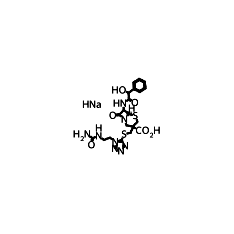 NC(=O)NCCn1nnnc1SCC1(C(=O)O)CS[C@@H]2C(NC(=O)C(O)c3ccccc3)C(=O)N2C1.[NaH]